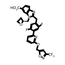 O=C(O)c1ccc2nc(Cc3cc(F)c(-c4cccc(OCc5cc(C(F)(F)F)no5)n4)cc3F)n(C[C@@H]3CCO3)c2c1